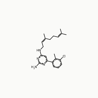 CC(C)=CCCC(C)=CCNc1cc(-c2cccc(Cl)c2C)nc(N)n1